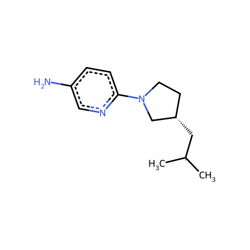 C[C](C)C[C@H]1CCN(c2ccc(N)cn2)C1